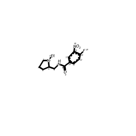 CCN1CCCC1CNC(=O)c1ccc(F)c([N+](=O)[O-])c1